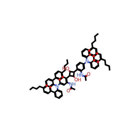 CCCCc1ccc(-c2ccccc2N(c2ccc(C3C(O)C(c4ccc(N(c5ccccc5-c5ccc(CCCC)cc5)c5ccccc5-c5ccc(CCCC)cc5)cc4NC(C)=O)C3O)c(NC(C)=O)c2)c2ccccc2-c2ccc(CCCC)cc2)cc1